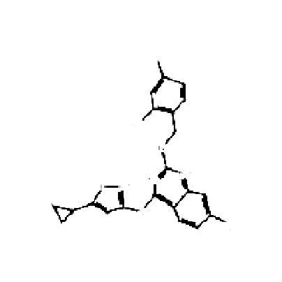 Fc1ccc(CNc2nc(Nc3cc(C4CC4)[nH]n3)c3ccc(Cl)cc3n2)c(F)c1